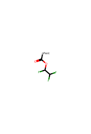 CCCCCC(=O)OC(F)C(F)F